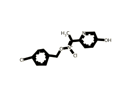 CC(c1ccc(O)cn1)=[N+](Cl)OCc1ccc(Cl)cc1